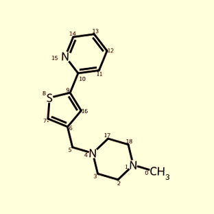 CN1CCN(Cc2[c]sc(-c3ccccn3)c2)CC1